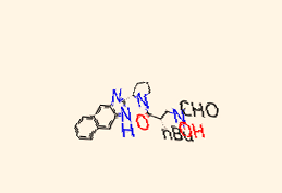 CCCC[C@@H](CN(O)C=O)C(=O)N1CCC[C@H]1c1nc2cc3ccccc3cc2[nH]1